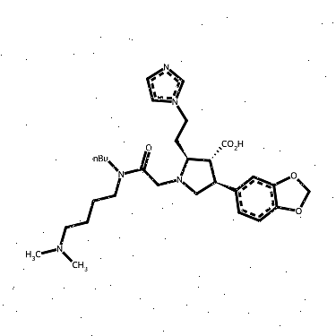 CCCCN(CCCCN(C)C)C(=O)CN1C[C@H](c2ccc3c(c2)OCO3)[C@@H](C(=O)O)[C@@H]1CCn1ccnc1